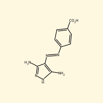 Nc1n[nH]c(N)c1N=Nc1ccc(C(=O)O)cc1